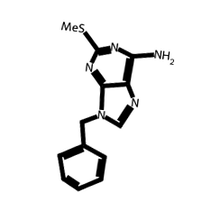 CSc1nc(N)c2ncn(Cc3ccccc3)c2n1